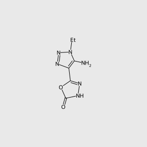 CCn1nnc(-c2n[nH]c(=O)o2)c1N